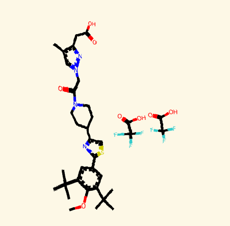 COc1c(C(C)(C)C)cc(-c2nc(C3CCN(C(=O)Cn4cc(C)c(CC(=O)O)n4)CC3)cs2)cc1C(C)(C)C.O=C(O)C(F)(F)F.O=C(O)C(F)(F)F